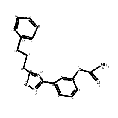 NC(=O)Sc1cccc(-c2n[nH]c([CH]CCc3ccccc3)n2)c1